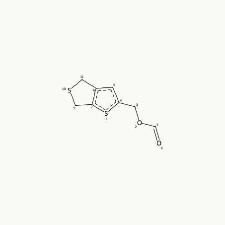 O=COCc1cc2c(s1)CSC2